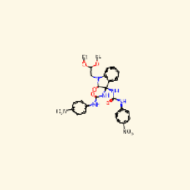 CCOC(CN1C(=O)C(NC(=O)Nc2ccc([N+](=O)[O-])cc2)(NC(=O)Nc2ccc([N+](=O)[O-])cc2)c2ccccc21)OCC